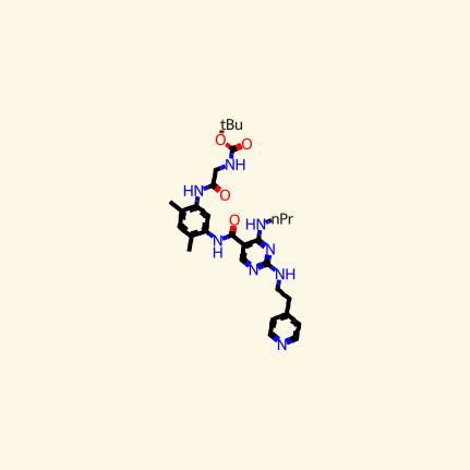 CCCNc1nc(NCCc2ccncc2)ncc1C(=O)Nc1cc(NC(=O)CNC(=O)OC(C)(C)C)c(C)cc1C